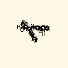 CNc1c(Cl)cc(C[C@@H](OC(=O)N2CCC(N3CCc4ccccc4NC3=O)CC2)C(=O)N2CCN(C3CCN(C)CC3)CC2)cc1C(F)(F)F